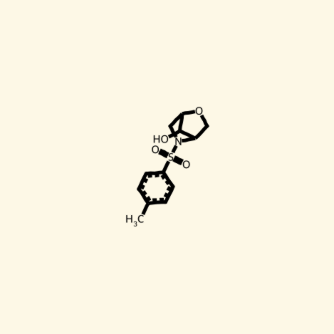 Cc1ccc(S(=O)(=O)N2CC3OCC2C3O)cc1